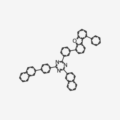 c1ccc(-c2cccc3oc4c(-c5cccc(-c6nc(-c7ccc(-c8ccc9ccccc9c8)cc7)nc(-c7ccc8ccccc8c7)n6)c5)cccc4c23)cc1